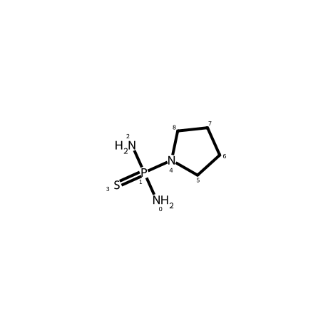 NP(N)(=S)N1CCCC1